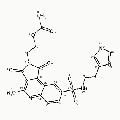 CC(=O)OCCN1C(=O)c2c(C)nc3ccc(S(=O)(=O)NCCc4c[nH]cn4)cc3c2C1=O